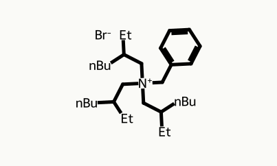 CCCCC(CC)C[N+](Cc1ccccc1)(CC(CC)CCCC)CC(CC)CCCC.[Br-]